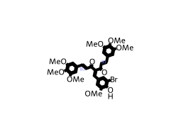 COc1cc(C=C(C(=O)/C=C/c2cc(OC)c(OC)c(OC)c2)C(=O)/C=C/c2cc(OC)c(OC)c(OC)c2)cc(Br)c1O